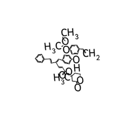 C=Cc1ccc(OC(C)OCC)cc1.CC1(OC(=O)C=CC(C=Cc2ccccc2)=Cc2ccc(O)cc2)CCOC(=O)C1